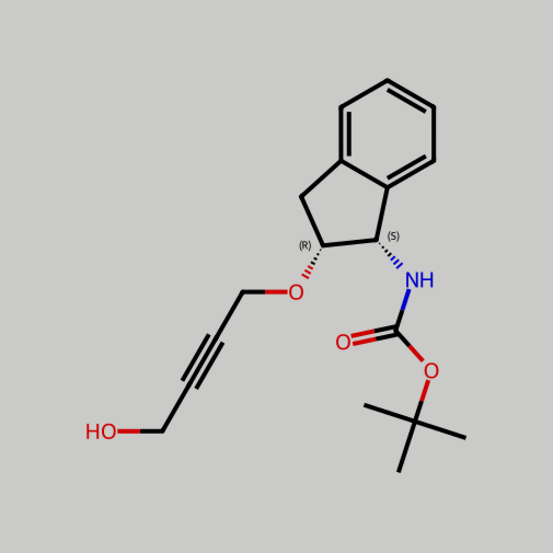 CC(C)(C)OC(=O)N[C@H]1c2ccccc2C[C@H]1OCC#CCO